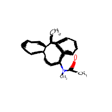 C=C1c2ccccc2CCC(N(C)C(C)=O)c2ccccc21